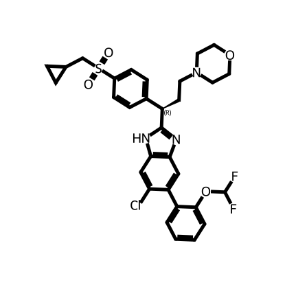 O=S(=O)(CC1CC1)c1ccc([C@@H](CCN2CCOCC2)c2nc3cc(-c4ccccc4OC(F)F)c(Cl)cc3[nH]2)cc1